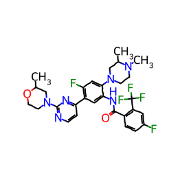 CC1CN(c2nccc(-c3cc(NC(=O)c4ccc(F)cc4C(F)(F)F)c(N4CCN(C)C(C)C4)cc3F)n2)CCO1